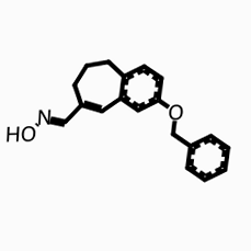 ON=CC1=Cc2cc(OCc3ccccc3)ccc2CCC1